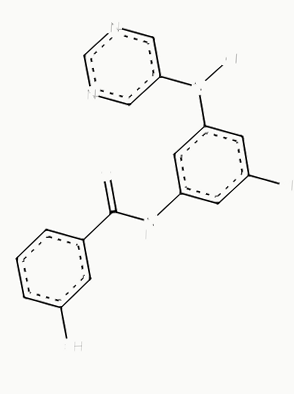 Cc1cccc(C(=O)Nc2cc(Cl)cc(N(C)c3cncnc3)c2)c1